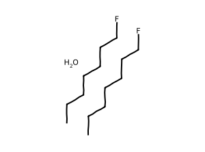 CCCCCCCF.CCCCCCCF.O